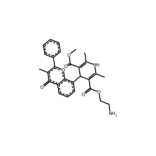 COC(=O)C1=C(C)NC(C)=C(C(=O)OCCN)C1c1cccc2c(=O)c(C)c(-c3ccccc3)oc12